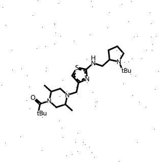 CC1CN(C(=O)C(C)(C)C)C(C)CN1Cc1csc(NCC2CCCN2C(C)(C)C)n1